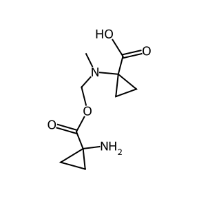 CN(COC(=O)C1(N)CC1)C1(C(=O)O)CC1